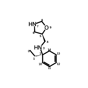 CC[C@@]1(NC[C@H]2CNCO2)C=CC=CC1